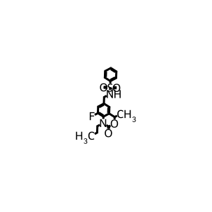 CCCN1C(=O)OC(C)c2cc(CNS(=O)(=O)c3ccccc3)cc(F)c21